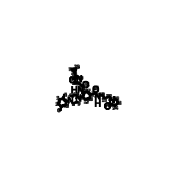 Cc1ccc(C)c(N2CCN(c3ccc(C(=O)NCCCN4CCCC4=O)cc3NC(=O)c3coc(C4CC4)n3)CC2)c1